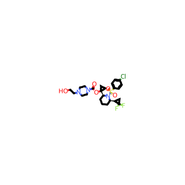 O=C(OC1([C@@H]2CCC[C@H](C3CC3(F)F)N2S(=O)(=O)c2ccc(Cl)cc2)CC1)N1CCN(CCO)CC1